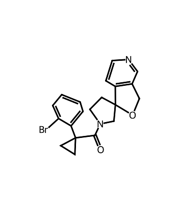 O=C(N1CCC2(C1)OCc1cnccc12)C1(c2ccccc2Br)CC1